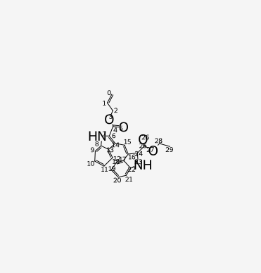 C=CCOC(=O)c1[nH]c2ccccc2c1C=C1c2ccccc2NC1C(=O)OCC